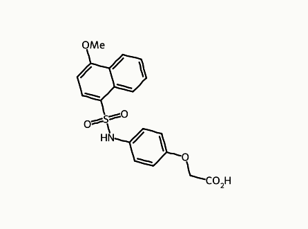 COc1ccc(S(=O)(=O)Nc2ccc(OCC(=O)O)cc2)c2ccccc12